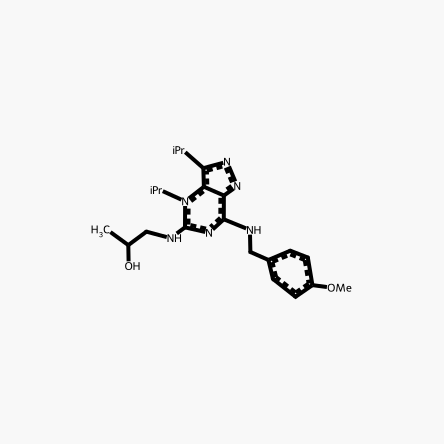 COc1ccc(CNc2nc(NCC(C)O)n(C(C)C)c3c(C(C)C)nnc2-3)cc1